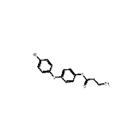 CCCC(=O)Oc1ccc(Sc2ccc(O)cc2)cc1